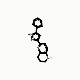 c1ccc(-c2cc(-c3ccc4c(n3)CCCN4)n[nH]2)cc1